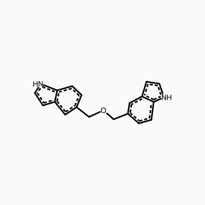 c1cc2cc(COCc3ccc4[nH]ccc4c3)ccc2[nH]1